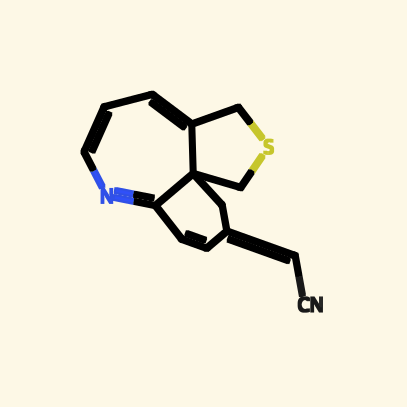 N#CC=C1C=CC2=NC=CC=C3CSCC32C1